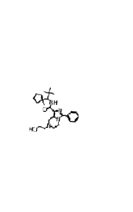 CC(C)(C)C(NC(=O)c1nc(-c2ccccc2)n2c1CN(CCO)CC2)C1(C)CCCC1